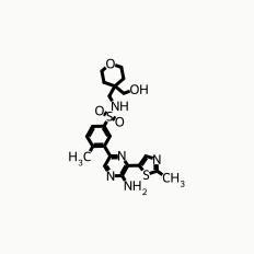 Cc1ncc(-c2nc(-c3cc(S(=O)(=O)NCC4(CO)CCOCC4)ccc3C)cnc2N)s1